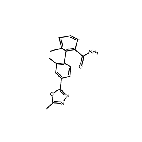 Cc1nnc(-c2ccc(-c3c(C(N)=O)[c]ccc3C)c(C)c2)o1